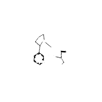 CN1CCCC1c1cccnc1.NC(C[SeH])C(=O)O